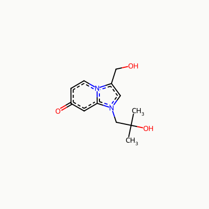 CC(C)(O)Cn1cc(CO)n2ccc(=O)cc12